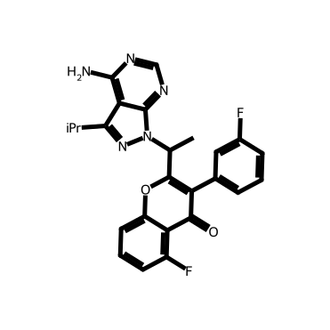 CC(C)c1nn(C(C)c2oc3cccc(F)c3c(=O)c2-c2cccc(F)c2)c2ncnc(N)c12